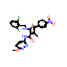 COc1ccc(NC(=O)c2c(NCc3c(F)cccc3F)sc(-c3ccc([N+](=O)[O-])cc3)c2C)nn1